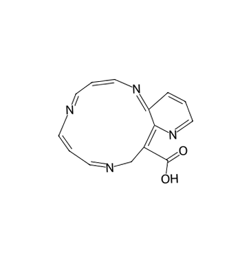 O=C(O)C1=c2ncccc2=NC=CC=NC=CC=NC1